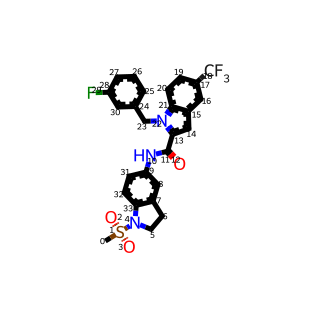 CS(=O)(=O)N1CCc2cc(NC(=O)c3cc4cc(C(F)(F)F)ccc4n3Cc3cccc(F)c3)ccc21